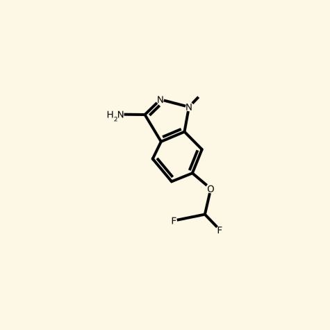 Cn1nc(N)c2ccc(OC(F)F)cc21